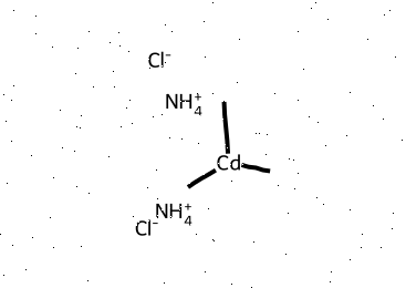 [CH3][Cd]([CH3])[CH3].[Cl-].[Cl-].[NH4+].[NH4+]